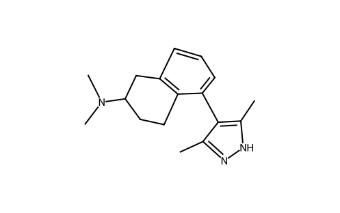 Cc1n[nH]c(C)c1-c1cccc2c1CCC(N(C)C)C2